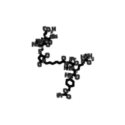 CC(C)C(=O)OCC1CCC(NC(=O)[C@H](CCCNC(N)=O)NC(=O)[C@@H](NC(=O)CCCCCN2C(=O)CC(SC[C@H](NC(C)(C)C)C(=O)N[C@@H](CCC(=O)O)C(=O)C(C)(C)C)C2=O)C(C)C)CC1